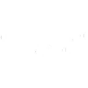 CCCCCc1ccc2c(oc3c(C)c(OCC)ccc32)c1C